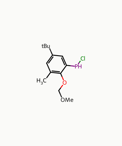 COCOc1c(C)cc(C(C)(C)C)cc1PCl